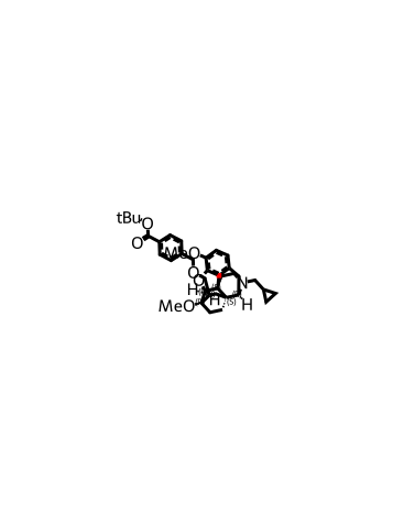 COc1ccc2c3c1O[C@H]1[C@@]4(OC)CC[C@@]5(C[C@@H]4COCc4ccc(C(=O)OC(C)(C)C)cc4)[C@@H](C2)N(CC2CC2)CC[C@]315